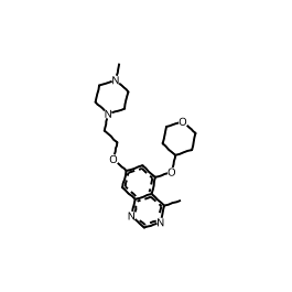 Cc1ncnc2cc(OCCN3CCN(C)CC3)cc(OC3CCOCC3)c12